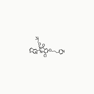 C[Si](C)(C)CCOCn1c(-c2cc3ccsc3cn2)nc2c(Cl)cc(OCCCc3ccncc3)cc2c1=O